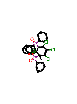 CC1(Cl)C(P(=O)(c2ccccc2)c2ccccc2)=C(Cl)C(Cl)=C(Cl)C1(C)P(=O)(c1ccccc1)c1ccccc1